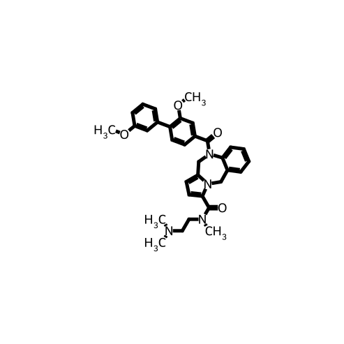 COc1cccc(-c2ccc(C(=O)N3Cc4ccc(C(=O)N(C)CCN(C)C)n4Cc4ccccc43)cc2OC)c1